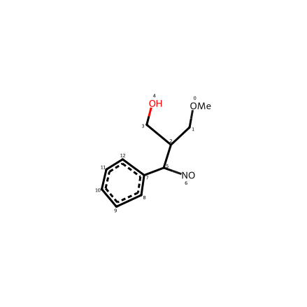 COCC(CO)C(N=O)c1ccccc1